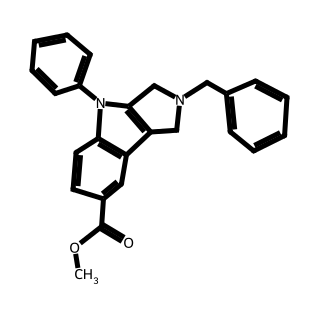 COC(=O)c1ccc2c(c1)c1c(n2-c2ccccc2)CN(Cc2ccccc2)C1